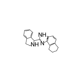 NC(=Nc1cccc2c1CCCC2)C1NCCc2ccccc21